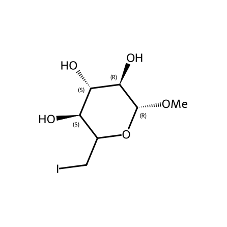 CO[C@@H]1OC(CI)[C@@H](O)[C@H](O)[C@H]1O